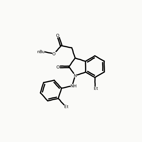 CCCCOC(=O)CC1C(=O)N(Nc2ccccc2CC)c2c(CC)cccc21